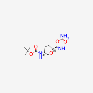 CC(C)(C)OC(=O)N[C@@H]1CC[C@@H](C(=N)OC(N)=O)OC1